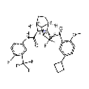 COc1ccc(C2CCC2)cc1C(=O)N[C@H]1[C@@H](C(=O)Nc2ccc(F)c(C(F)(F)F)c2)[C@H]2CC[C@@H]1/C2=C\C(F)(F)F